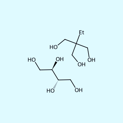 CCC(CO)(CO)CO.OC[C@@H](O)[C@@H](O)CO